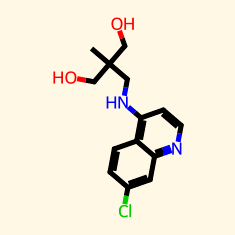 CC(CO)(CO)CNc1ccnc2cc(Cl)ccc12